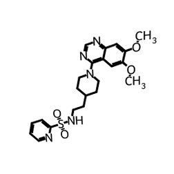 COc1cc2ncnc(N3CCC(CCNS(=O)(=O)c4ccccn4)CC3)c2cc1OC